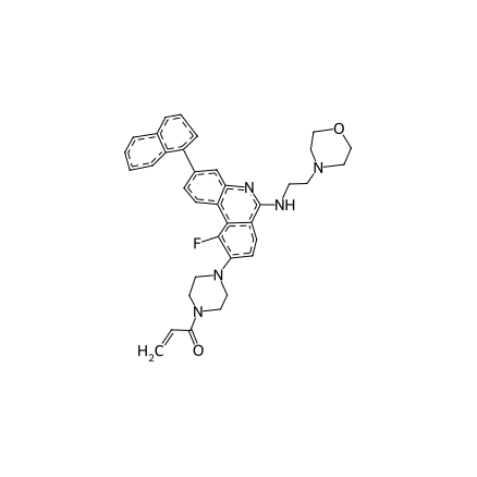 C=CC(=O)N1CCN(c2ccc3c(NCCN4CCOCC4)nc4cc(-c5cccc6ccccc56)ccc4c3c2F)CC1